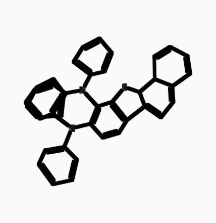 C1=CC2=CC=C3c4ccc(N(c5ccccc5)c5ccccc5)c(N(c5ccccc5)c5ccccc5)c4SC3C2C=C1